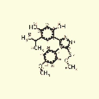 COSc1nnc(-c2cc(C(C)C)c(O)cc2O)n1-c1ccc(OC)cc1